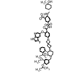 COc1cc(CN2CCN(C3CC4(C3)CN(c3ccc(C(=O)NS(=O)(=O)c5ccc(NC[C@H]6CC[C@](C)(O)CC6)c([N+](=O)[O-])c5)c(Oc5cnc6[nH]cc(F)c6c5)c3)C4)[C@H](c3ccccc3C(C)C)C2)ccc1OC(C)C